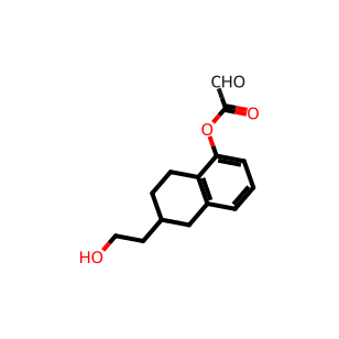 O=CC(=O)Oc1cccc2c1CCC(CCO)C2